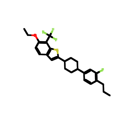 CCCc1ccc(C2CCC(c3cc4ccc(OCC)c(C(F)(F)F)c4s3)CC2)cc1F